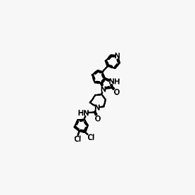 O=C(Nc1ccc(Cl)c(Cl)c1)N1CCC(n2c(=O)[nH]c3c(-c4ccncc4)cccc32)CC1